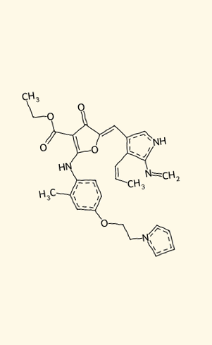 C=Nc1[nH]cc(/C=C2\OC(Nc3ccc(OCCn4cccc4)cc3C)=C(C(=O)OCC)C2=O)c1/C=C\C